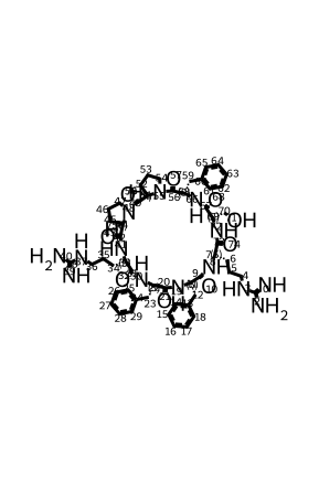 N=C(N)NCCC[C@@H]1NC(=O)[C@H](Cc2ccccc2)NC(=O)[C@H](Cc2ccccc2)NC(=O)[C@H](CCCNC(=N)N)NC(=O)[C@@H]2CCCN2C(=O)[C@H]2CCCN2C(=O)[C@H](Cc2ccccc2)NC(=O)[C@H](CO)NC1=O